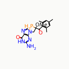 COC(P)(Cn1cnc2c(=O)[nH]c(N)nc21)C(=O)c1c(C)cc(C)cc1C